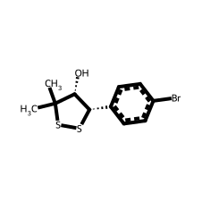 CC1(C)SS[C@@H](c2ccc(Br)cc2)[C@H]1O